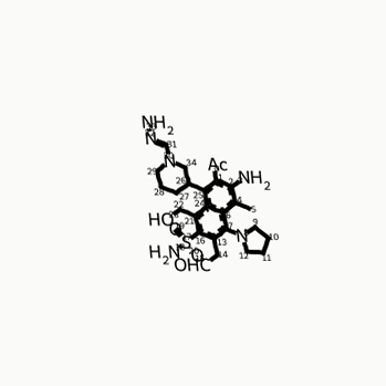 CC(=O)c1c(N)c(C)c2c(N3CCCC3)c(CC=O)c(S(N)(=O)=O)c(CO)c2c1C1CCCN(C=NN)C1